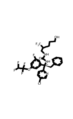 O=C(NCC(CCCO)C(F)(F)F)N[C@@](Cc1ccccc1)(c1cc(F)cc(OC(F)(F)C(F)F)c1)c1ccc(Cl)cn1